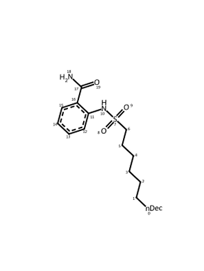 CCCCCCCCCCCCCCCCS(=O)(=O)Nc1ccccc1C(N)=O